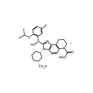 COC(=O)N1c2ccc3c(nc([C@@H](O)c4cc(F)ccc4OC(F)F)n3[C@H]3CCC[C@@H](C(=O)O)C3)c2CC[C@@H]1C